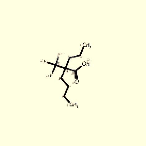 CCCCC(CCC)(C(=O)O)C(F)(F)F